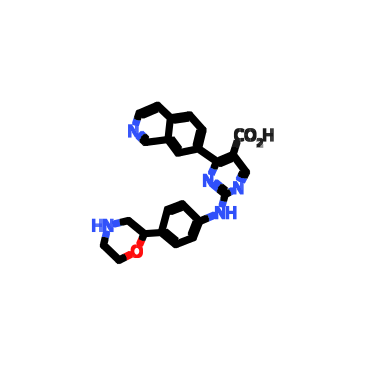 O=C(O)c1cnc(Nc2ccc(C3CNCCO3)cc2)nc1-c1ccc2ccncc2c1